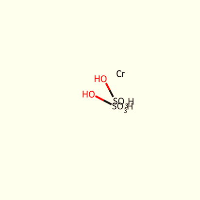 O=S(=O)(O)O.O=S(=O)(O)O.[Cr]